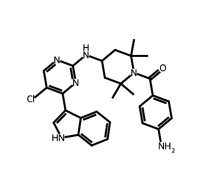 CC1(C)CC(Nc2ncc(Cl)c(-c3c[nH]c4ccccc34)n2)CC(C)(C)N1C(=O)c1ccc(N)cc1